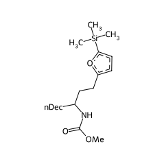 CCCCCCCCCCC(CCc1ccc([Si](C)(C)C)o1)NC(=O)OC